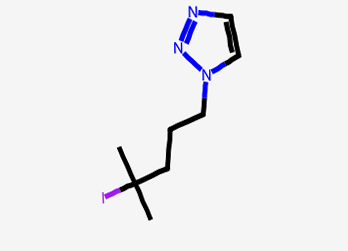 CC(C)(I)CCCn1ccnn1